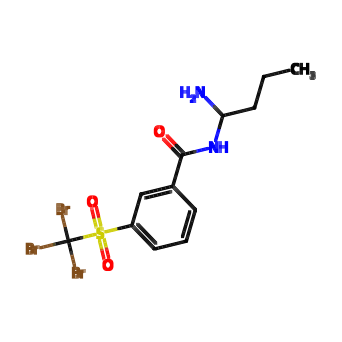 CCCC(N)NC(=O)c1cccc(S(=O)(=O)C(Br)(Br)Br)c1